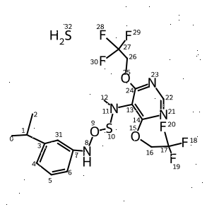 CC(C)c1cccc(NOSN(C)c2c(OCC(F)(F)F)ncnc2OCC(F)(F)F)c1.S